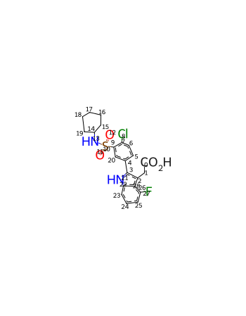 O=C(O)Cc1c(-c2ccc(Cl)c(S(=O)(=O)NC3CCCCC3)c2)[nH]c2cccc(F)c12